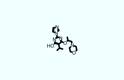 CC(CN1CCOCC1)Oc1nc(-n2ccnc2)nc(O)c1C(C)C